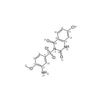 COc1ccc(S(=O)(=O)n2c(=O)[nH]c3cc(Cl)ccc3c2=O)cc1N